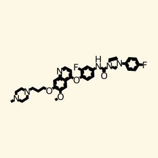 COc1cc2c(Oc3ccc(NC(=O)N4C=CN(c5ccc(F)cc5)C4)cc3F)ccnc2cc1OCCCN1CCN(C)CC1